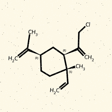 C=C[C@]1(C)CC[C@@H](C(=C)C)C[C@H]1C(=C)CCl